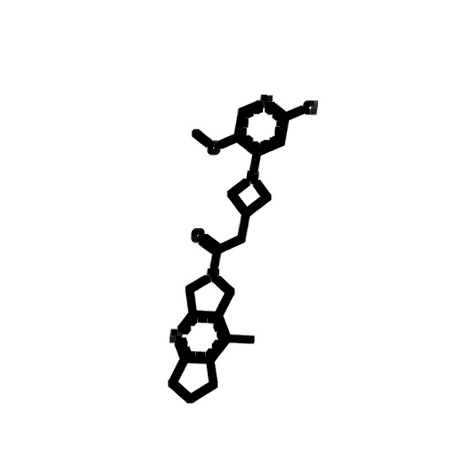 COc1cnc(Cl)cc1N1CC(CC(=O)N2Cc3nc4c(c(C)c3C2)CCC4)C1